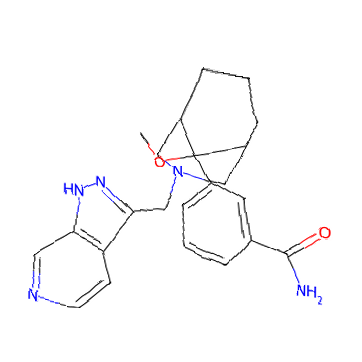 COC1(c2cccc(C(N)=O)c2)C2CCCC1CN(Cc1n[nH]c3cnccc13)C2